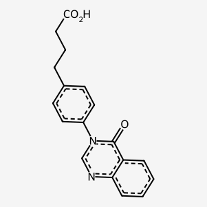 O=C(O)CCCc1ccc(-n2cnc3ccccc3c2=O)cc1